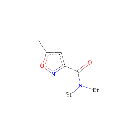 CCN(CC)C(=O)c1cc(C)on1